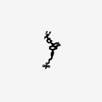 CS(=O)(=O)OCCCC#Cc1ccc2c(-c3ccc(C(F)(F)F)cc3)nsc2c1